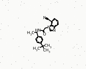 CC(NC(=O)Cn1cnc2cccc(C#N)c21)c1ccc(C(C)(C)C)cc1